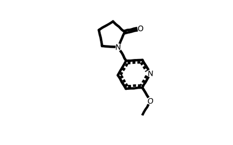 COc1ccc(N2CCCC2=O)cn1